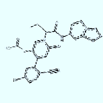 CCC(C(=O)Nc1ccn2nccc2c1)n1cc(OC(=O)O)c(-c2cc(Cl)ccc2C#N)cc1=O